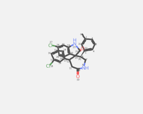 Cc1cccc([C@H]2CNC(=O)CC(c3cccc(Cl)c3)C23C(=O)Nc2cc(Cl)ccc23)c1